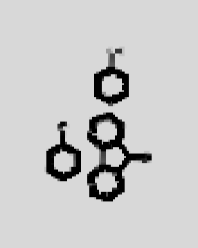 O=C1c2ccccc2-c2ccccc21.Oc1ccccc1.Oc1ccccc1